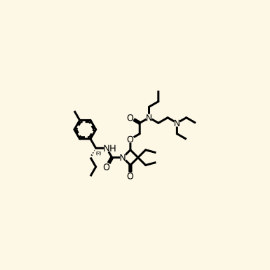 CCC[C@@H](NC(=O)N1C(=O)C(CC)(CC)C1OCC(=O)N(CCC)CCN(CC)CC)c1ccc(C)cc1